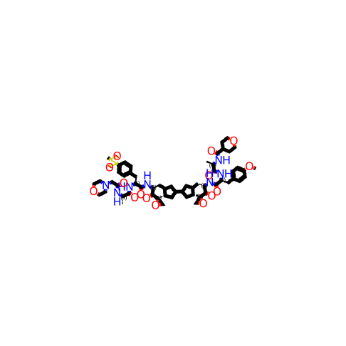 COc1ccc(C[C@H](NC(=O)[C@@H](C)NC(=O)C2CCOCC2)C(=O)N[C@@H](CC2CCC(C3CCC(C[C@H](NC(=O)[C@H](Cc4ccc(S(C)(=O)=O)cc4)NC(=O)[C@H](C)NC(=O)CN4CCOCC4)C(=O)[C@@]4(C)CO4)C3)C2)C(=O)[C@@]2(C)CO2)cc1